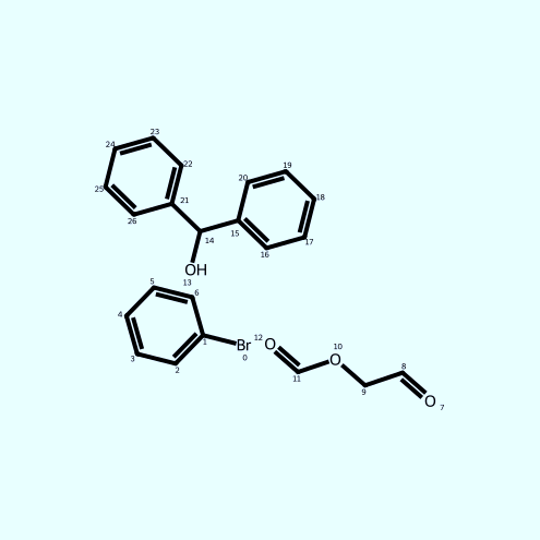 Brc1ccccc1.O=CCOC=O.OC(c1ccccc1)c1ccccc1